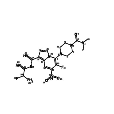 CN(C)C(=O)N1CCN(c2c(F)c([SH](=O)=O)cc3c(C(=N)SC(=N)C(F)P)ccn23)CC1